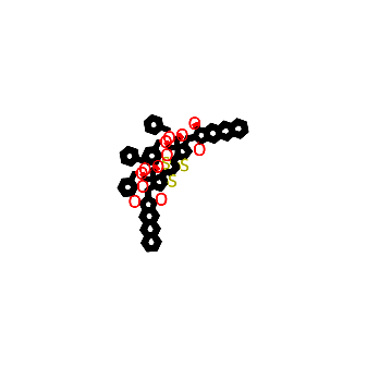 O=C1C(=CC2=Cc3sc4c(sc5c6c(sc54)C=C(C=C4C(=O)c5cc7cc8ccccc8cc7cc5C4=O)C6(C(=O)OCc4ccccc4)C(=O)OCc4ccccc4)c3C2(C(=O)OCc2ccccc2)C(=O)OCc2ccccc2)C(=O)c2cc3cc4ccccc4cc3cc21